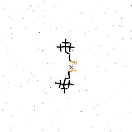 CC(C)(C)C(CCC[PH][Pd][PH]CCCC(C(C)(C)C)(C(C)(C)C)C(C)(C)C)(C(C)(C)C)C(C)(C)C